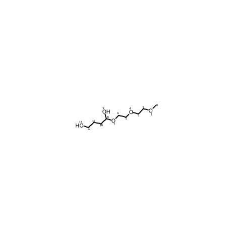 COCCOCCOC(O)CCCO